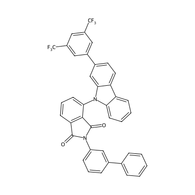 O=C1c2cccc(-n3c4ccccc4c4ccc(-c5cc(C(F)(F)F)cc(C(F)(F)F)c5)cc43)c2C(=O)N1c1cccc(-c2ccccc2)c1